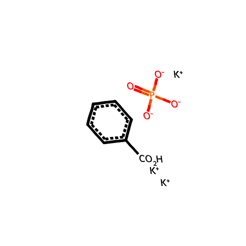 O=C(O)c1ccccc1.O=P([O-])([O-])[O-].[K+].[K+].[K+]